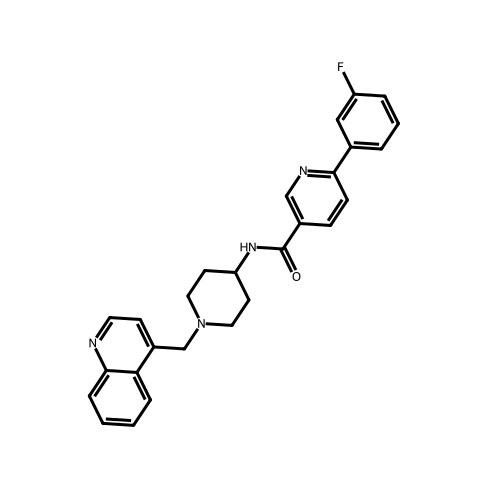 O=C(NC1CCN(Cc2ccnc3ccccc23)CC1)c1ccc(-c2cccc(F)c2)nc1